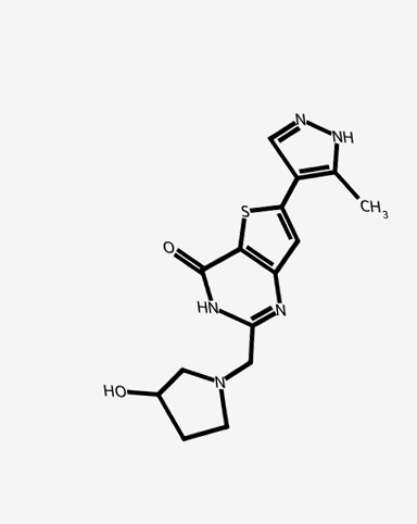 Cc1[nH]ncc1-c1cc2nc(CN3CCC(O)C3)[nH]c(=O)c2s1